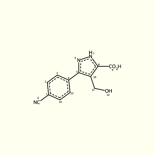 N#Cc1ccc(-c2n[nH]c(C(=O)O)c2CO)cc1